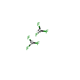 F[Si](F)F.F[Si](F)F